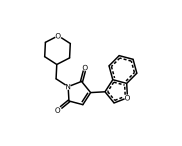 O=C1C=C(c2coc3ccccc23)C(=O)N1CC1CCOCC1